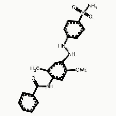 COc1cc(NC(=O)c2ccccc2)c(C)cc1NNc1ccc(S(N)(=O)=O)cc1